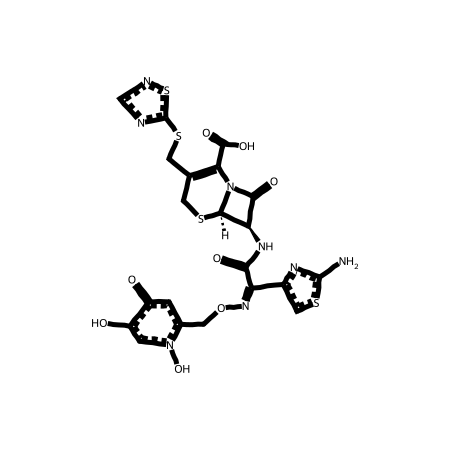 Nc1nc(/C(=N/OCc2cc(=O)c(O)cn2O)C(=O)N[C@@H]2C(=O)N3C(C(=O)O)=C(CSc4ncns4)CS[C@H]23)cs1